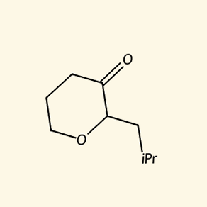 CC(C)CC1OCCCC1=O